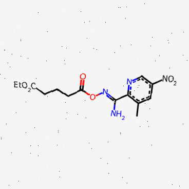 CCOC(=O)CCCC(=O)O/N=C(\N)c1ncc([N+](=O)[O-])cc1C